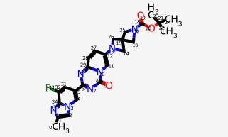 Cc1cn2cc(-c3nc(=O)n4cc(N5CC6(CN(C(=O)OC(C)(C)C)C6)C5)ccc4n3)cc(F)c2n1